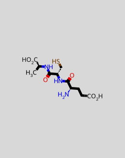 C[C@H](NC(=O)[C@H](CS)NC(=O)[C@@H](N)CCC(=O)O)C(=O)O